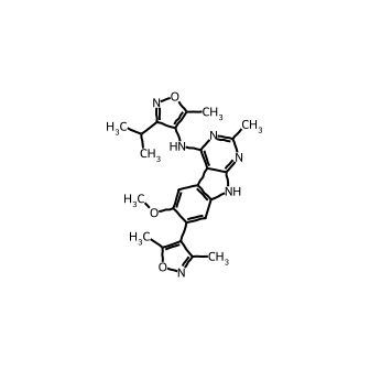 COc1cc2c(cc1-c1c(C)noc1C)[nH]c1nc(C)nc(Nc3c(C(C)C)noc3C)c12